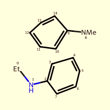 CCNc1ccccc1.CNc1ccccc1